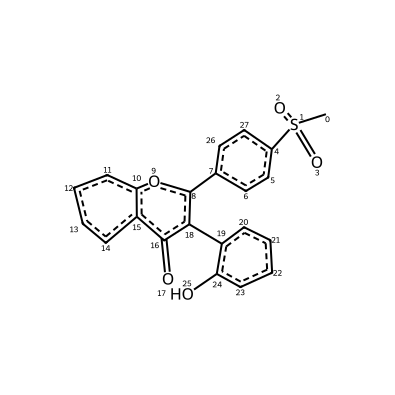 CS(=O)(=O)c1ccc(-c2oc3ccccc3c(=O)c2-c2ccccc2O)cc1